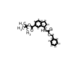 CC(C)(C)OC(=O)c1ccc2c(c1)C(NC(=O)OCc1ccccc1)CC2